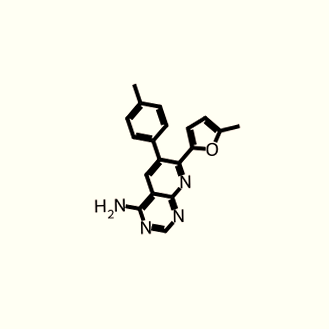 Cc1ccc(-c2cc3c(N)ncnc3nc2-c2ccc(C)o2)cc1